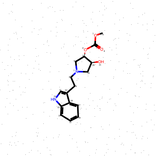 COC(=O)O[C@H]1CN(CCc2c[nH]c3ccccc23)C[C@@H]1O